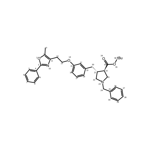 Cc1oc(-c2ccccc2)nc1CCOc1cccc(C[C@H]2CN(Cc3ccccc3)C[C@@H]2C(=O)OC(C)(C)C)c1